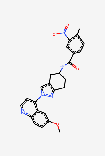 COc1ccc2nccc(-n3cc4c(n3)CCC(NC(=O)c3ccc(C)c([N+](=O)[O-])c3)C4)c2c1